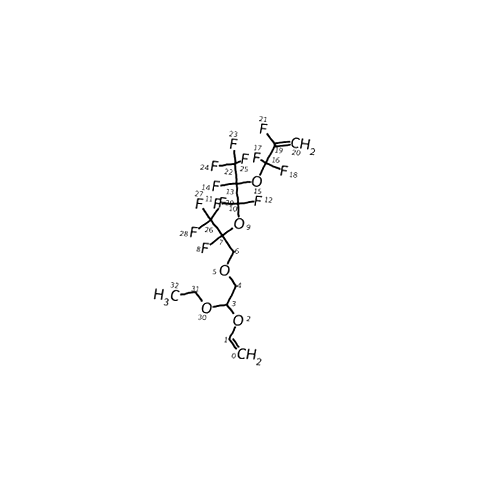 C=COC(COCC(F)(OC(F)(F)C(F)(OC(F)(F)C(=C)F)C(F)(F)F)C(F)(F)F)OCC